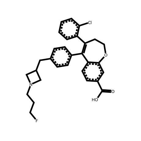 O=C(O)c1ccc2c(c1)OCCC(c1ccccc1Cl)=C2c1ccc(CC2CN(CCCF)C2)cc1